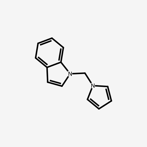 c1ccc2c(c1)ccn2Cn1cccc1